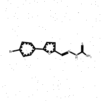 NC(=S)N/N=C/c1ccc(-c2ccc(Br)cc2)o1